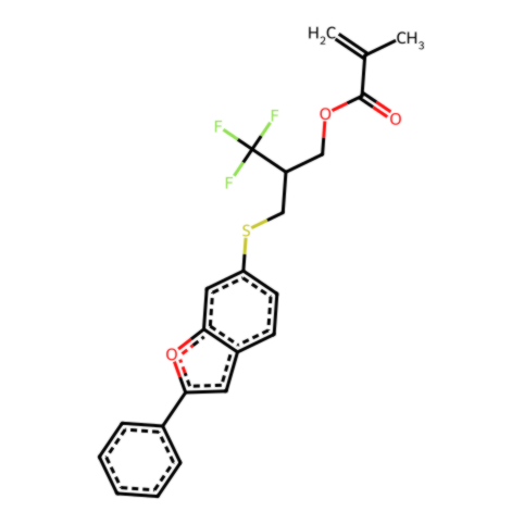 C=C(C)C(=O)OCC(CSc1ccc2cc(-c3ccccc3)oc2c1)C(F)(F)F